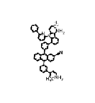 C/C=C\c1c(N)c2cccc(-c3cccc(-c4c5ccccc5c(-c5cccc(C(/C=C\N)=C/C)c5)c5ccc(C#N)cc45)c3)c2n1-c1cccc(-c2ccccc2)n1